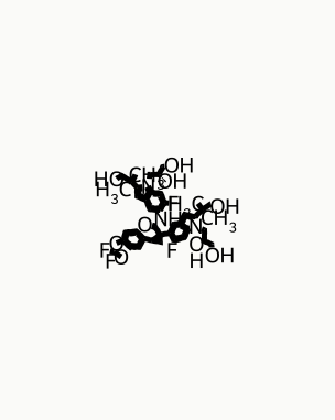 CC(C)(CO)c1cc2cc(NC(=O)C3(c4cc5cc(C(C)(C)CO)n(C[C@@H](O)CO)c5cc4F)CC3c3ccc4c(c3)OC(F)(F)O4)c(F)cc2n1C[C@@H](O)CO